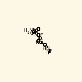 NC(=O)C1(C(=O)N(c2ccccc2)c2ccc(Oc3ccnc4cc(-c5ccc(CNCC(F)(F)F)cc5)sc34)c(F)c2)CC1